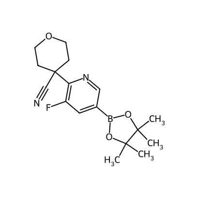 CC1(C)OB(c2cnc(C3(C#N)CCOCC3)c(F)c2)OC1(C)C